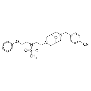 CS(=O)(=O)N(CCOc1ccccc1)CCN1CC2CN(Cc3ccc(C#N)cc3)CC(C1)O2